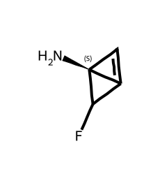 N[C@@]12C=C1C2F